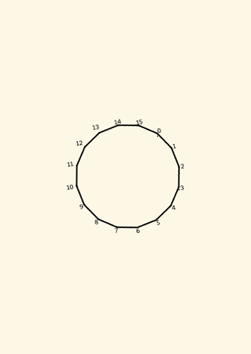 [CH]1CC[CH]CCCCCCCCCCCC1